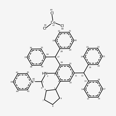 CC(Nc1c(C2CCCC2)cc(C(c2ccccc2)c2ccccc2)cc1C(c1ccccc1)c1ccccc1)[n+]1ccccc1.[Cl][Co]([Cl])[Cl]